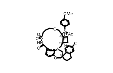 COc1ccc(N(C(C)=O)[C@@H]2CCCCCS(=O)(=O)NC(=O)c3ccc4c(c3)N(C[C@@H]3CC[C@H]32)C[C@@]2(CCCc3cc(Cl)ccc32)CO4)cc1